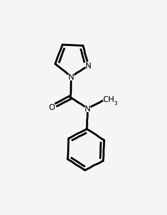 CN(C(=O)n1cccn1)c1ccccc1